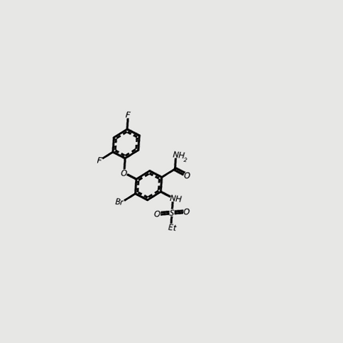 CCS(=O)(=O)Nc1cc(Br)c(Oc2ccc(F)cc2F)cc1C(N)=O